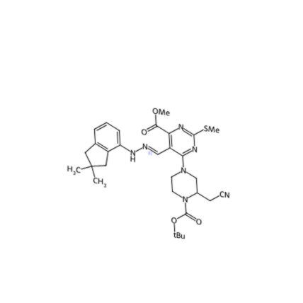 COC(=O)c1nc(SC)nc(N2CCN(C(=O)OC(C)(C)C)C(CC#N)C2)c1/C=N/Nc1cccc2c1CC(C)(C)C2